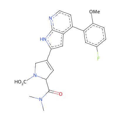 COc1ccc(F)cc1-c1ccnc2[nH]c(C3=CC(C(=O)N(C)C)N(C(=O)O)C3)cc12